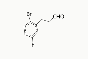 O=CCCc1cc(F)ccc1Br